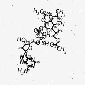 CC(=O)OC[C@H](F)C1OC(OP(=O)(O)OP(=O)(S)OC[C@H]2O[C@@H](n3nnc4c(N)ncnc43)C[C@@H]2O)C(OC(C)=O)C(OC(C)=O)C1O